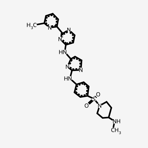 CNC1CCN(S(=O)(=O)c2ccc(Nc3nccc(Nc4ccnc(-c5cccc(C)n5)n4)n3)cc2)CC1